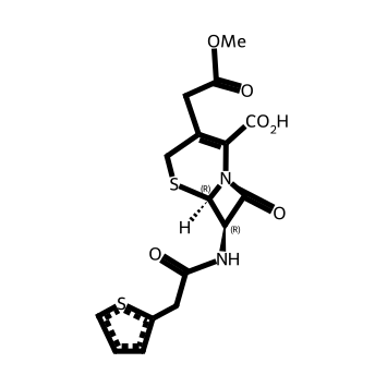 COC(=O)CC1=C(C(=O)O)N2C(=O)[C@@H](NC(=O)Cc3cccs3)[C@H]2SC1